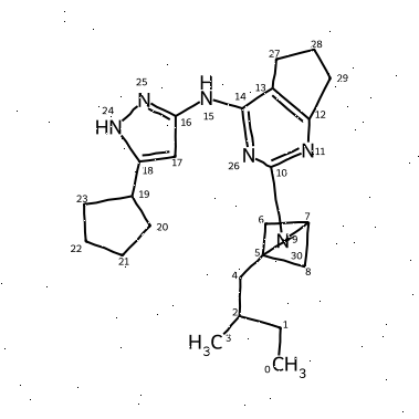 CCC(C)CC12CC(C1)N(c1nc3c(c(Nc4cc(C5CCCC5)[nH]n4)n1)CCC3)C2